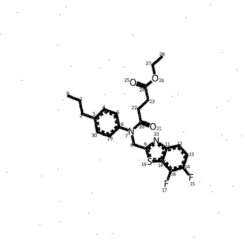 CCCc1ccc(N(Cc2nc3ccc(F)c(F)c3s2)C(=O)CCC(=O)OCC)cc1